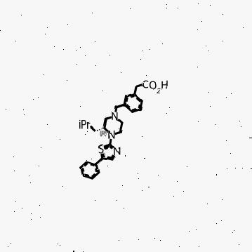 CC(C)C[C@@H]1CN(Cc2cccc(CC(=O)O)c2)CCN1c1ncc(-c2ccccc2)s1